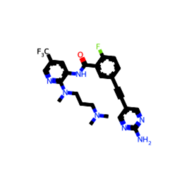 CN(C)CCCN(C)c1ncc(C(F)(F)F)cc1NC(=O)c1cc(C#Cc2cnc(N)nc2)ccc1F